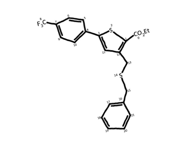 CCOC(=O)c1sc(-c2ccc(C(F)(F)F)cc2)cc1CSCc1ccccc1